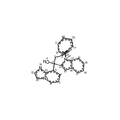 C#CCC(O)(c1cccn2ccnc12)c1cc2ccccc2n1-c1ccccc1